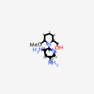 COC1CCCC(CO)N1c1ncc(N)cc1N